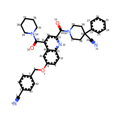 N#Cc1ccc(COc2ccc3nc(C(=O)N4CCC(C#N)(c5ccccc5)CC4)cc(C(=O)N4CCCCC4)c3c2)cc1